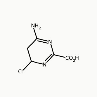 NC1=NC(C(=O)O)=NC(Cl)C1